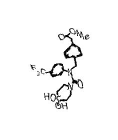 COC(=O)c1ccc(CN(C(=O)N2CCS(O)(O)CC2)c2ccc(C(F)(F)F)cc2)cc1